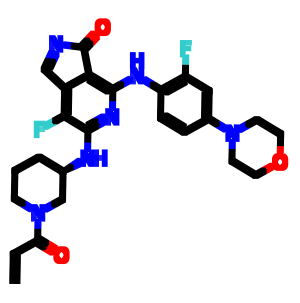 C=CC(=O)N1CCC[C@@H](Nc2nc(Nc3ccc(N4CCOCC4)cc3F)c3c(c2F)C=NC3=O)C1